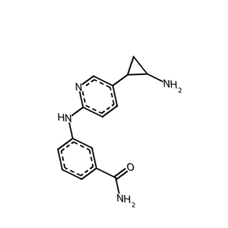 NC(=O)c1cccc(Nc2ccc(C3CC3N)cn2)c1